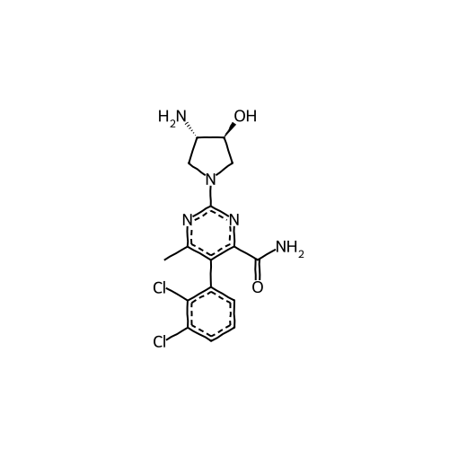 Cc1nc(N2C[C@H](N)[C@@H](O)C2)nc(C(N)=O)c1-c1cccc(Cl)c1Cl